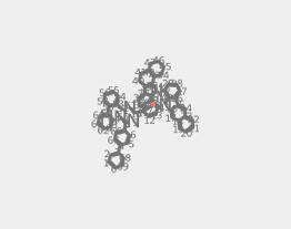 c1ccc(-c2ccc(C3N=C(c4ccc(-n5c6cc7ccccc7cc6c6cccc(-n7c8c(c9ccccc97)CCC7=C8CCCC7)c65)cc4)N=C(c4ccccc4-c4ccccc4)N3)cc2)cc1